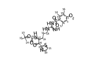 COc1cc(C)c(S(=O)(=O)NC(=N)NCCC[C@H](NC(=O)OC(C)(C)C)C(=O)c2nccs2)c(C)c1C